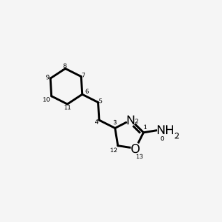 NC1=NC(CCC2CCCCC2)CO1